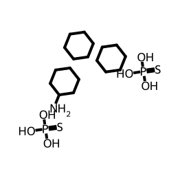 C1CCCCC1.C1CCCCC1.NC1CCCCC1.OP(O)(O)=S.OP(O)(O)=S